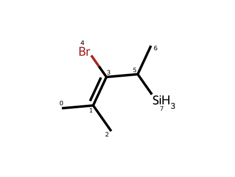 CC(C)=C(Br)C(C)[SiH3]